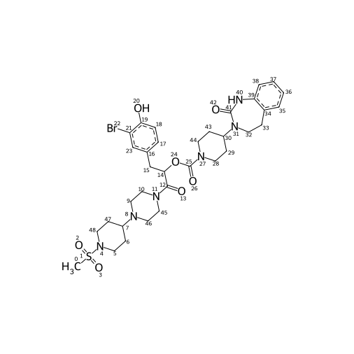 CS(=O)(=O)N1CCC(N2CCN(C(=O)C(Cc3ccc(O)c(Br)c3)OC(=O)N3CCC(N4CCc5ccccc5NC4=O)CC3)CC2)CC1